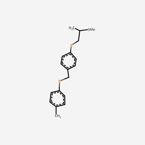 CSC(C)CSc1ccc(CSc2ccc(C)cc2)cc1